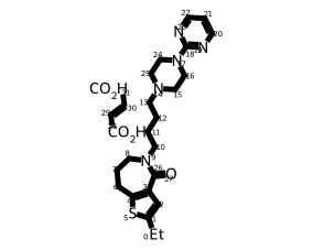 CCc1cc2c(s1)CCCN(CCCCN1CCN(c3ncccn3)CC1)C2=O.O=C(O)/C=C/C(=O)O